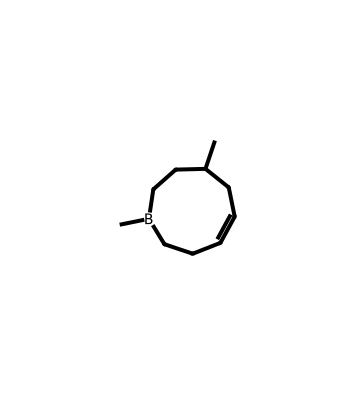 CB1CCC=CCC(C)CC1